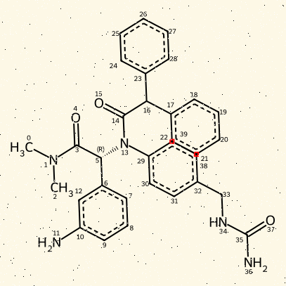 CN(C)C(=O)[C@@H](c1cccc(N)c1)N(C(=O)C(c1ccccc1)c1ccccc1)c1ccc(CNC(N)=O)cc1